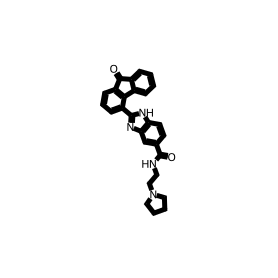 O=C(NCCN1CCCC1)c1ccc2[nH]c(-c3cccc4c3-c3ccccc3C4=O)nc2c1